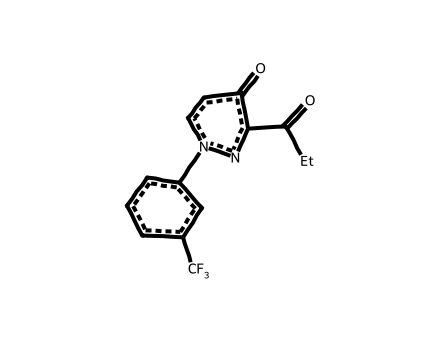 CCC(=O)c1nn(-c2cccc(C(F)(F)F)c2)ccc1=O